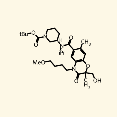 COCCCCN1C(=O)C(C)(CO)Oc2cc(C)c(C(=O)N(C(C)C)[C@@H]3CCCN(C(=O)OC(C)(C)C)C3)cc21